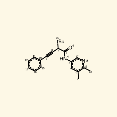 Cc1cc(NC(=O)C(C#Cc2ccccc2)C(C)(C)C)cnc1C